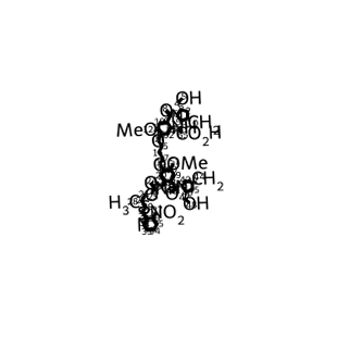 C=C1C[C@@H](CO)N(C(=O)c2cc(OC)c(OCCCOc3cc(NC(=O)OC[C@@H](C)SSc4ncccc4[N+](=O)[O-])c(C(=O)N4CC(=C)C[C@H]4CO)cc3OC)cc2NC(=O)O)C1